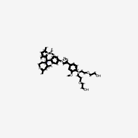 COc1cc(-c2cn(-c3ccc(/C(=C4/CCN=C(C)C=C4C)c4c(C)cc(C)n4B(F)F)cc3)nn2)ccc1N(CCOCCO)CCOCCO